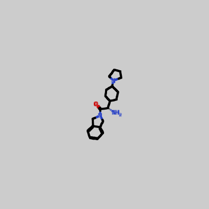 N[C@H](C(=O)N1Cc2ccccc2C1)C1CCC(N2CCCC2)CC1